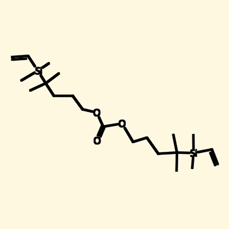 C=C[Si](C)(C)C(C)(C)CCCOC(=O)OCCCC(C)(C)[Si](C)(C)C=C